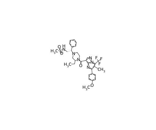 CCC1CN([C@H](CNS(C)(=O)=O)c2ccccc2)CCN1C(=O)c1cnn2c(C(F)(F)F)c(C)c(-c3ccc(OC)cc3)nc12